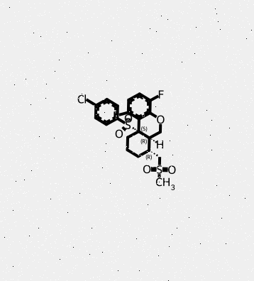 CS(=O)(=O)C[C@@H]1CCC[C@@]2(S(=O)(=O)c3ccc(Cl)cc3)c3c(F)ccc(F)c3OC[C@@H]12